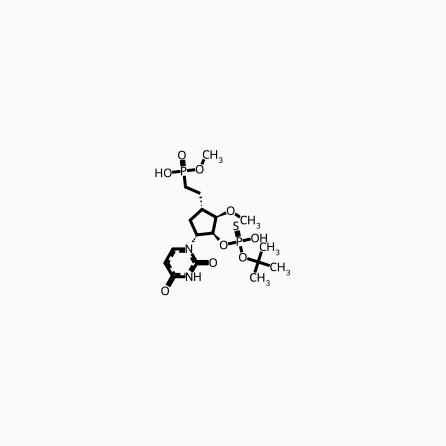 CO[C@@H]1[C@@H](CCP(=O)(O)OC)C[C@@H](n2ccc(=O)[nH]c2=O)[C@@H]1OP(O)(=S)OC(C)(C)C